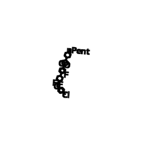 CCCCCC1CCC(C2COC(c3ccc(C4CCC(C(F)(F)Oc5ccc(Cl)cc5)CC4)c(F)c3)OC2)CC1